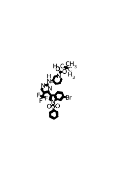 CC(C)(C)OC(=O)N1CCC[C@H](Nc2ncc(C(F)(F)F)c(-c3cn(S(=O)(=O)c4ccccc4)c4cc(Br)ccc34)n2)C1